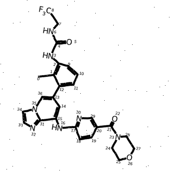 Cc1c(NC(=O)NCC(F)(F)F)cccc1-c1cc(Nc2ccc(C(=O)N3CCOCC3)cn2)c2nccn2c1